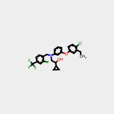 CCc1cc(Oc2cccc(N(Cc3ccc(C(F)(F)F)cc3F)CC(O)C3CC3)c2)ccc1Cl